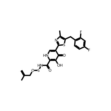 C=C(C)COSNC(=O)c1[nH]cc(-c2nc(C)c(Cc3ccc(F)cc3F)s2)c(=O)c1O